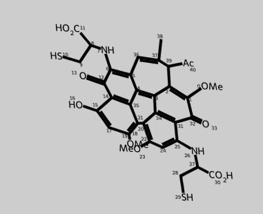 COc1c2c3c4c(c(NC(CS)C(=O)O)c(=O)c5c(O)cc(OC)c(c6c(OC)cc(NC(CS)C(=O)O)c(c1=O)c63)c54)C=C(C)C2C(C)=O